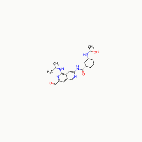 CC(C)Nc1nc(C=O)cc2cnc(NC(=O)[C@H]3CCC[C@@H](NC(C)O)C3)cc12